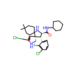 CC1(C)CCC2(CC1)N[C@@H](C(=O)NC1CCCCC1)[C@H](c1cccc(Cl)c1F)[C@]21CNc2cc(Cl)ccc21